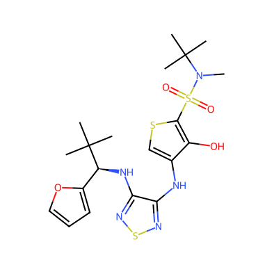 CN(C(C)(C)C)S(=O)(=O)c1scc(Nc2nsnc2N[C@@H](c2ccco2)C(C)(C)C)c1O